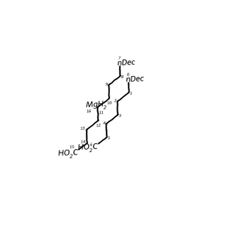 CCCCCCCCCCCCCCCC(=O)O.CCCCCCCCCCCCCCCCCC(=O)O.[MgH2]